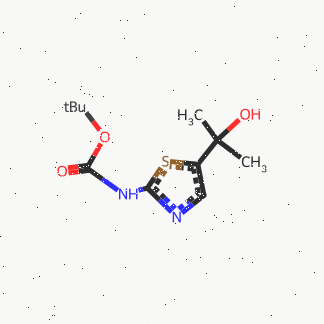 CC(C)(C)OC(=O)Nc1ncc(C(C)(C)O)s1